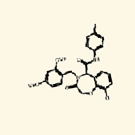 COc1ccc(CN2C(=O)COc3c(Cl)cccc3C2C(=O)Nc2ccc(C)cc2)c(OC)c1